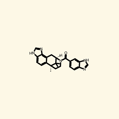 CC1(C)[C@H]2Cc3c(ccc4[nH]cnc34)[C@]1(C)CCN2C(=O)c1ccc2nc[nH]c2c1